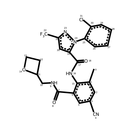 Cc1cc(C#N)cc(C(=O)NCC2CCO2)c1NC(=O)c1cc(C(F)(F)F)nn1-c1ccccc1Cl